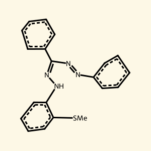 CSc1ccccc1NN=C(N=Nc1ccccc1)c1ccccc1